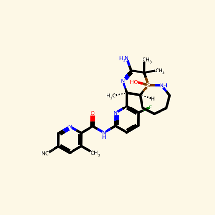 Cc1cc(C#N)cnc1C(=O)Nc1ccc(F)c([C@@]2(C)N=C(N)C(C)(C)S3(O)NCCCC[C@@H]23)n1